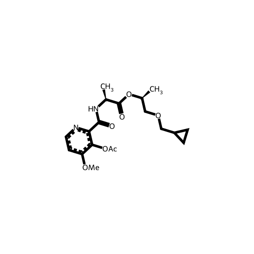 COc1ccnc(C(=O)N[C@@H](C)C(=O)O[C@@H](C)COCC2CC2)c1OC(C)=O